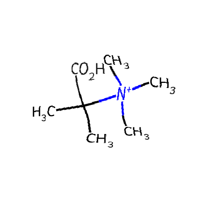 CC(C)(C(=O)O)[N+](C)(C)C